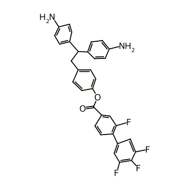 Nc1ccc(C(Cc2ccc(OC(=O)c3ccc(-c4cc(F)c(F)c(F)c4)c(F)c3)cc2)c2ccc(N)cc2)cc1